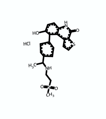 CC(NCCS(C)(=O)=O)c1ccc(-c2c(O)ccc3[nH]c(=O)c4sccc4c23)cc1.Cl